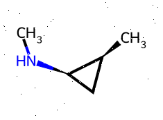 CN[C@@H]1C[C@@H]1C